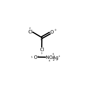 O=C(Cl)Cl.O=[N+]([O-])[O-].[Ag+]